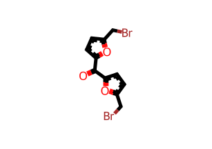 O=C(c1ccc(CBr)o1)c1ccc(CBr)o1